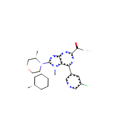 COC(=O)c1nc(-c2cncc(Cl)c2)c2c(n1)nc(N1CCOC[C@H]1C)n2C[C@H]1CC[C@H](C)CC1